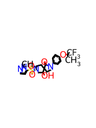 CC(Oc1ccc(N2CCC3(CCN(S(=O)(=O)c4ccnn4C)CC3O)C2=O)cc1)C(F)(F)F